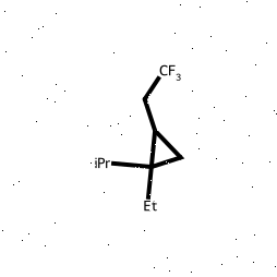 CCC1(C(C)C)CC1CC(F)(F)F